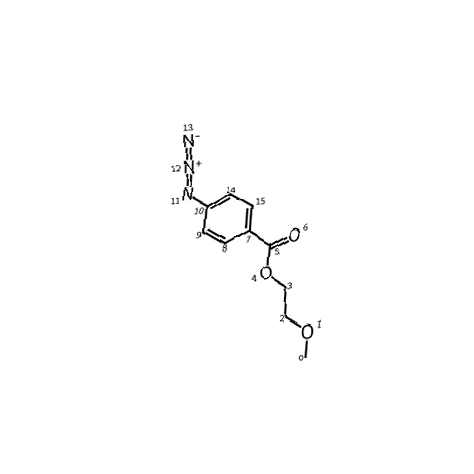 COCCOC(=O)c1ccc(N=[N+]=[N-])cc1